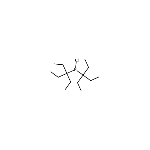 CCC(CC)(CC)P(Cl)C(CC)(CC)CC